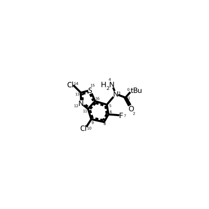 CC(C)(C)C(=O)N(N)c1c(F)cc(Cl)c2nc(Cl)sc12